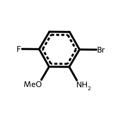 COc1c(F)ccc(Br)c1N